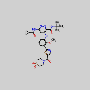 BC(B)(B)NC(=O)c1nnc(NC(=O)C2CC2)cc1Nc1cccc(-c2ncc(C(=O)N3CCS(=O)(=O)CC3)s2)c1OC